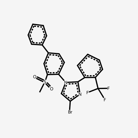 CS(=O)(=O)c1cc(-c2ccccc2)ccc1-n1cc(Br)nc1-c1ccccc1C(F)(F)F